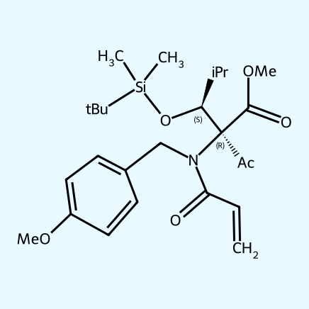 C=CC(=O)N(Cc1ccc(OC)cc1)[C@](C(C)=O)(C(=O)OC)[C@@H](O[Si](C)(C)C(C)(C)C)C(C)C